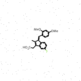 COc1ccc(/C=C2/C(C)=C(CC(=O)O)c3cc(F)ccc32)c(OC)c1